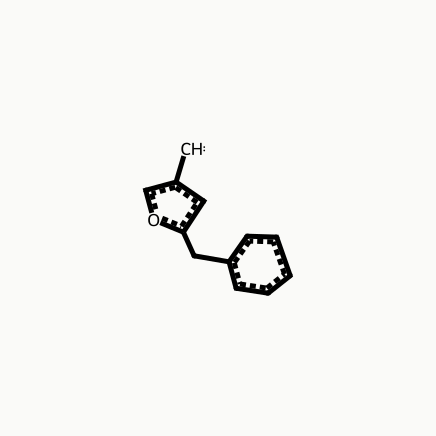 [CH]c1coc(Cc2ccccc2)c1